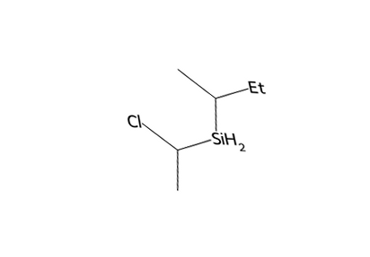 CCC(C)[SiH2]C(C)Cl